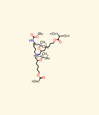 CCCCCCCCCCC(=O)OCCCCC(CN(CCCCNC(=O)OC(C)(C)C)CC(CCCCCOC(=O)C(CCCCCCCC)CCCCCCCC)O[Si](C)(C)C(C)(C)C)O[Si](C)(C)C(C)(C)C